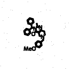 COc1ccc(CN2CCc3nc(C)n(C(c4ccccc4)c4ccccc4)c(=O)c3C2)cc1